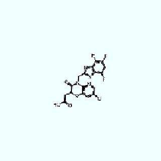 O=C(O)CC1Sc2cc(Cl)cnc2N(Cc2nc3c(F)c(F)cc(F)c3s2)C1=O